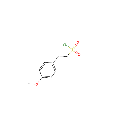 COc1ccc(CCS(=O)(=O)Cl)cc1